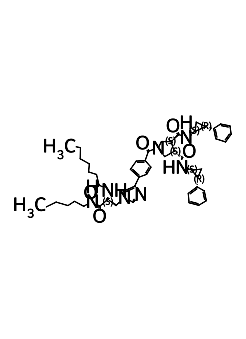 CCCCCCNC(=O)[C@H](Cn1cnc(-c2ccc(C(=O)N3C[C@@H](C(=O)N[C@H]4C[C@@H]4c4ccccc4)[C@H](C(=O)N[C@H]4C[C@@H]4c4ccccc4)C3)cc2)c1)NC(=O)CCCCCC